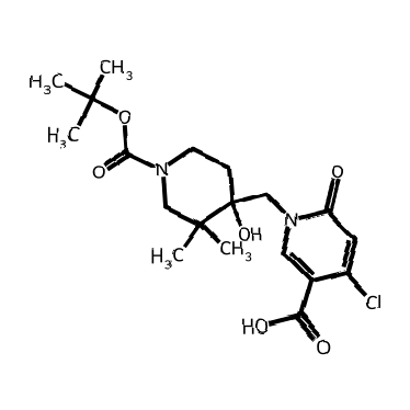 CC(C)(C)OC(=O)N1CCC(O)(Cn2cc(C(=O)O)c(Cl)cc2=O)C(C)(C)C1